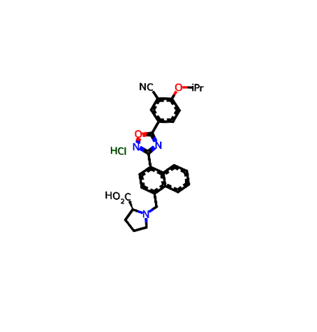 CC(C)Oc1ccc(-c2nc(-c3ccc(CN4CCC[C@H]4C(=O)O)c4ccccc34)no2)cc1C#N.Cl